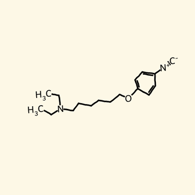 [C-]#[N+]c1ccc(OCCCCCCN(CC)CC)cc1